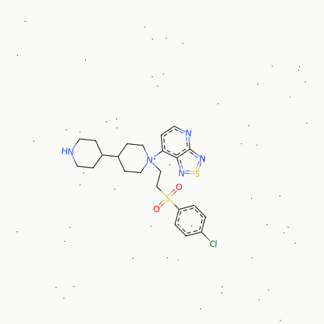 O=S(=O)(CC[N+]1(c2ccnc3nsnc23)CCC(C2CCNCC2)CC1)c1ccc(Cl)cc1